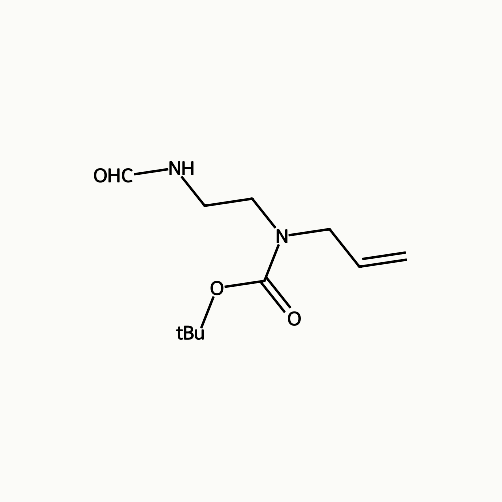 C=CCN(CCNC=O)C(=O)OC(C)(C)C